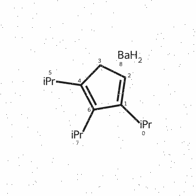 CC(C)C1=CCC(C(C)C)=C1C(C)C.[BaH2]